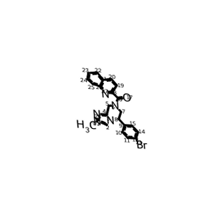 Cn1cnc(CN(CCc2ccc(Br)cc2)C(=O)c2ccc3ccccc3n2)n1